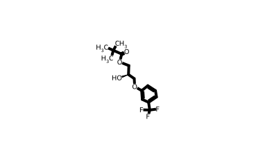 CC(C)(C)C(=O)OC[C@H](O)COc1cccc(C(F)(F)F)c1